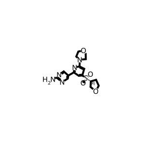 Nc1ncc(-c2cc(S(=O)(=O)[C@@H]3CCOC3)cc(N3CCOCC3)n2)cn1